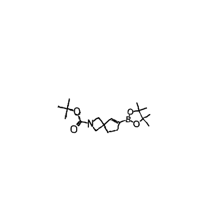 CC(C)(C)OC(=O)N1CC2(C=C(B3OC(C)(C)C(C)(C)O3)CC2)C1